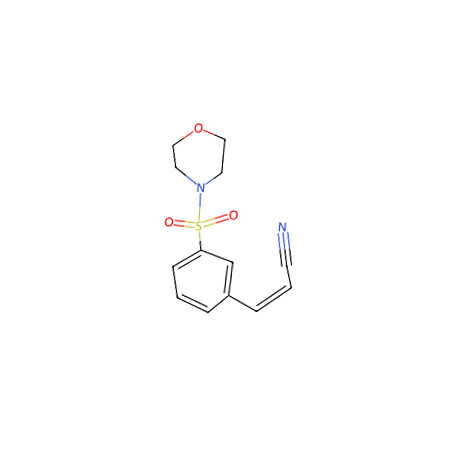 N#C/C=C\c1cccc(S(=O)(=O)N2CCOCC2)c1